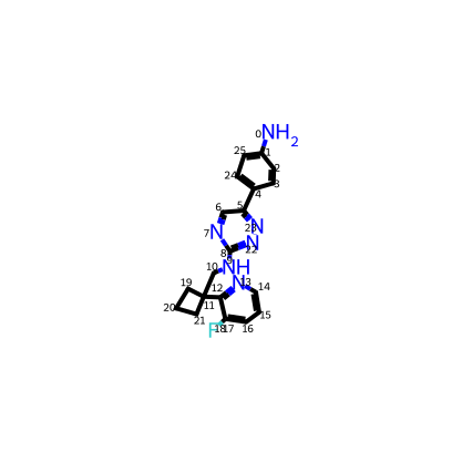 Nc1ccc(-c2cnc(NCC3(c4ncccc4F)CCC3)nn2)cc1